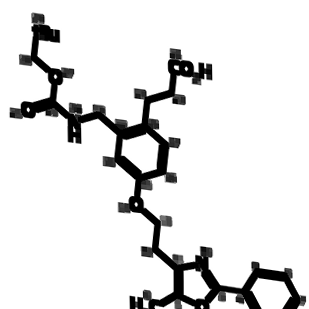 Cc1oc(-c2ccccc2)nc1CCOc1ccc(CCC(=O)O)c(CNC(=O)OCC(C)(C)C)c1